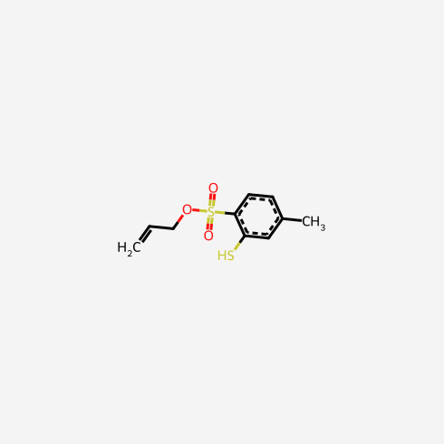 C=CCOS(=O)(=O)c1ccc(C)cc1S